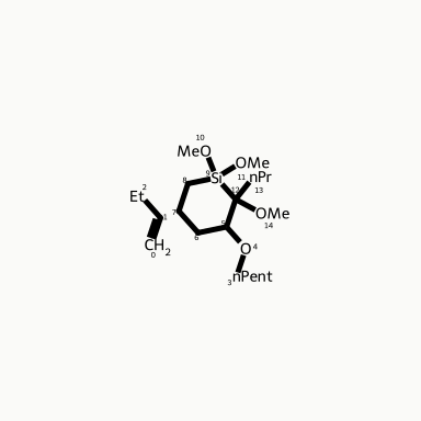 C=CCC.CCCCCOC1CCC[Si](OC)(OC)C1(CCC)OC